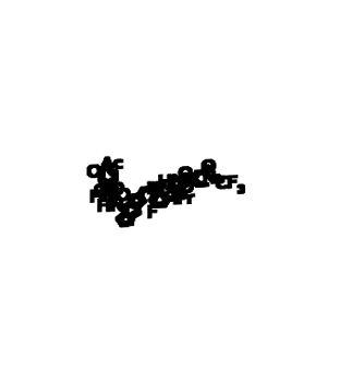 CC(=O)N1CCC(S(=O)(=O)NC(=O)Nc2c3c(cc4c2CC(CC(C)c2cc(F)cc(C(C)C)c2NC(=O)NS(=O)(=O)C2CCN(CC(F)(F)F)C(=O)C2)C4)CCC3)CC1=O